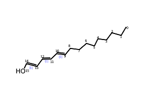 CCCCCCCCC/C=C/C=C/C=C/O